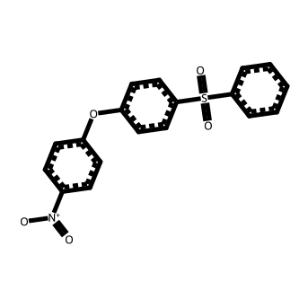 O=[N+]([O-])c1ccc(Oc2ccc(S(=O)(=O)c3ccccc3)cc2)cc1